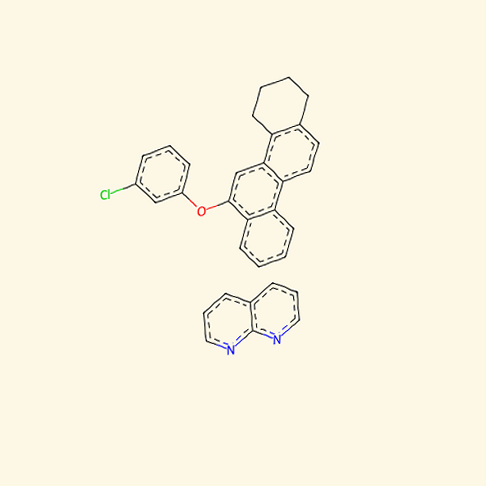 Clc1cccc(Oc2cc3c4c(ccc3c3ccccc23)CCCC4)c1.c1cnc2ncccc2c1